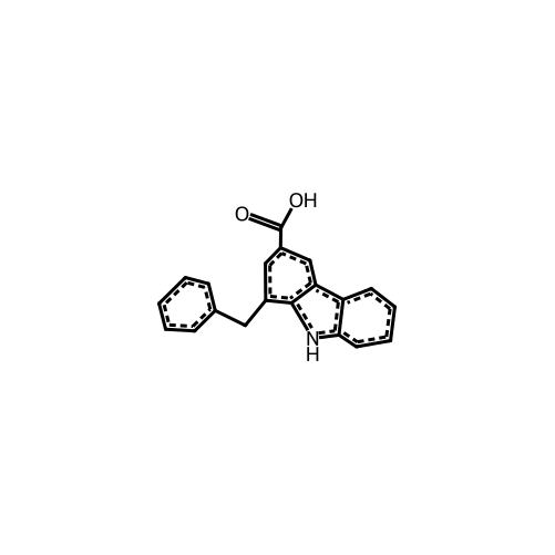 O=C(O)c1cc(Cc2ccccc2)c2[nH]c3ccccc3c2c1